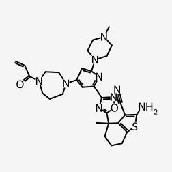 C=CC(=O)N1CCCN(c2cc(-c3noc(C4(C)CCCc5sc(N)c(C#N)c54)n3)nc(N3CCN(C)CC3)c2)CC1